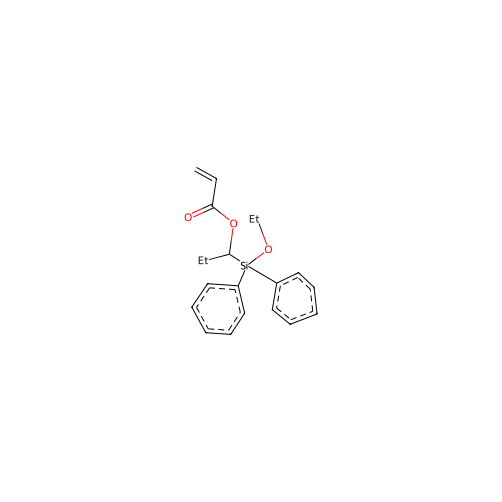 C=CC(=O)OC(CC)[Si](OCC)(c1ccccc1)c1ccccc1